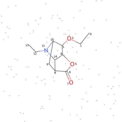 CCOC1C2OC(=O)C3CC1N(CC)C32